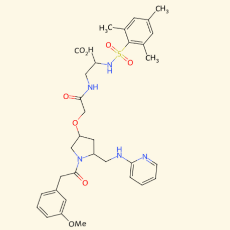 COc1cccc(CC(=O)N2CC(OCC(=O)NCC(NS(=O)(=O)c3c(C)cc(C)cc3C)C(=O)O)CC2CNc2ccccn2)c1